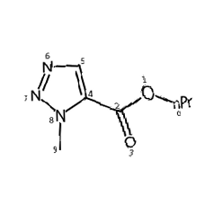 CCCOC(=O)c1cnnn1C